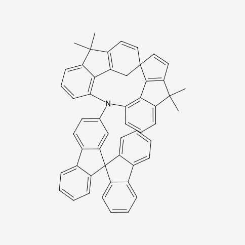 CC1(C)C2=C3CC4(C=C2)C=CC2=C4c4c(cccc4C2(C)C)N(c2ccc4c(c2)C2(c5ccccc5-c5ccccc52)c2ccccc2-4)c2cccc1c23